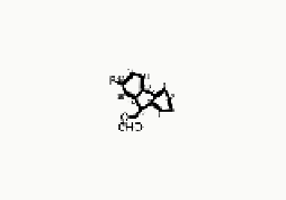 O=[C]OCC1c2ccccc2-c2ccc(F)cc21